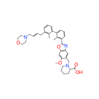 COc1cc2oc(-c3cccc(-c4cccc(CC=CCN5CCOCC5)c4C)c3C)nc2cc1CN1CCCCC1C(=O)O